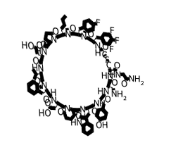 CCCC[C@H]1C(=O)N2CCC[C@@H]2C(=O)N[C@@H](CC(=O)O)C(=O)N[C@@H](C(C)C)C(=O)N(C)[C@@H](Cc2ccccc2)C(=O)N[C@@H](CC(=O)O)C(=O)N2CCCC[C@@H]2C(=O)N[C@@H](Cc2c[nH]c3ccccc23)C(=O)N[C@@H](Cc2ccc(O)cc2)C(=O)N[C@@H](CN)C(=O)N[C@H](C(=O)NCC(N)=O)CSCC(=O)N[C@@H](Cc2cc(F)c(F)c(F)c2)C(=O)N(C)[C@@H](Cc2ccc(F)cc2)C(=O)N1C